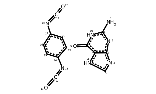 Nc1nc2nc[nH]c2c(=O)[nH]1.O=C=Nc1ccc(N=C=O)cc1